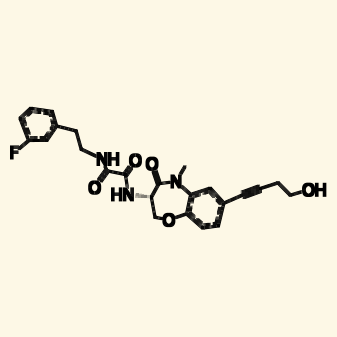 CN1C(=O)[C@@H](NC(=O)C(=O)NCCc2cccc(F)c2)COc2ccc(C#CCCO)cc21